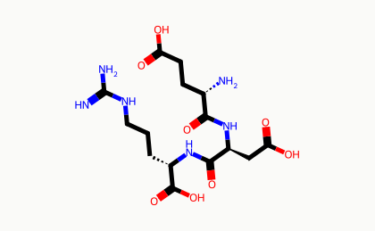 N=C(N)NCCC[C@H](NC(=O)[C@H](CC(=O)O)NC(=O)[C@@H](N)CCC(=O)O)C(=O)O